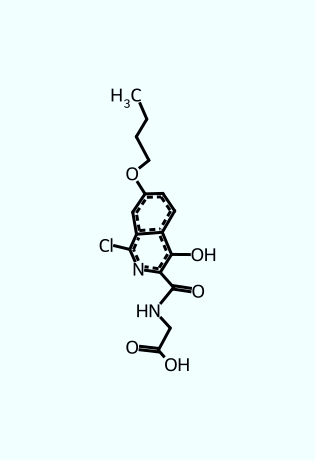 CCCCOc1ccc2c(O)c(C(=O)NCC(=O)O)nc(Cl)c2c1